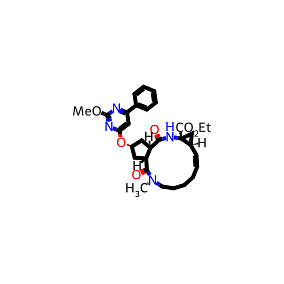 CCOC(=O)[C@@]12C[C@H]1/C=C\CCCCN(C)C(=O)[C@@H]1C[C@H](Oc3cc(-c4ccccc4)nc(OC)n3)C[C@H]1C(=O)N2